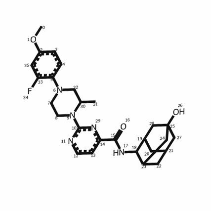 COc1ccc(N2CCN(c3nccc(C(=O)NC4C5CC6CC4CC(O)(C6)C5)n3)C(C)C2)c(F)c1